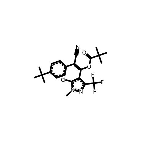 Cn1nc(C(F)(F)F)c(C(OC(=O)C(C)(C)C)=C(C#N)c2ccc(C(C)(C)C)cc2)c1Cl